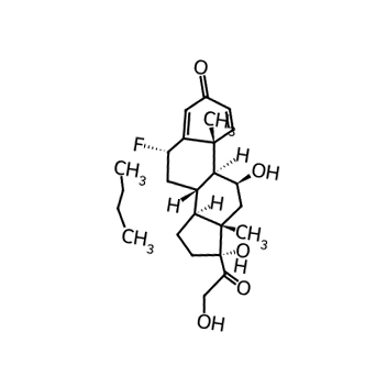 CCCC.C[C@]12C=CC(=O)C=C1[C@@H](F)C[C@@H]1[C@@H]2[C@@H](O)C[C@@]2(C)[C@H]1CC[C@]2(O)C(=O)CO